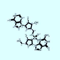 Nc1nc2c(nnn2[C@@H]2O[C@H](CO)[C@@H](F)[C@H]2P(=O)(S)OC[C@H]2O[C@@H](n3nnc4c(=O)[nH]cnc43)[C@@H](F)[C@@H]2O)c(=O)[nH]1